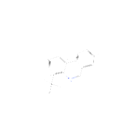 CC(C)(C)c1cccc2c1ncc1ccccc12